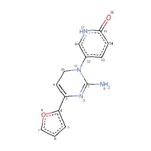 NC1=NC(c2ccco2)=CCN1c1ccc(=O)[nH]c1